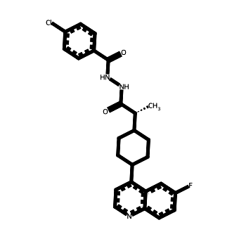 C[C@@H](C(=O)NNC(=O)c1ccc(Cl)cc1)C1CCC(c2ccnc3ccc(F)cc23)CC1